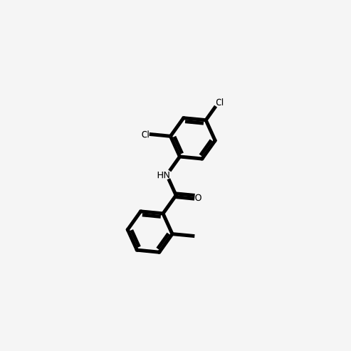 Cc1ccccc1C(=O)Nc1ccc(Cl)cc1Cl